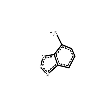 Nc1cccc2nsnc12